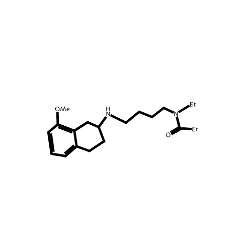 CCC(=O)N(CC)CCCCNC1CCc2cccc(OC)c2C1